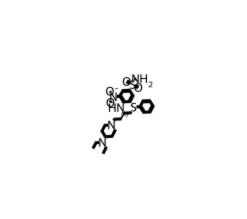 CCN(CC)C1CCN(CC[C@H](CSc2ccccc2)Nc2ccc(S(N)(=O)=O)cc2[N+](=O)[O-])CC1